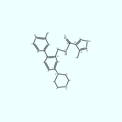 Cc1cc(-c2ccc(N3CCOCC3)cc2CNC(=O)c2conc2C)ccn1